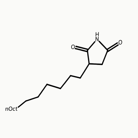 CCCCCCCCCCCCCCC1CC(=O)NC1=O